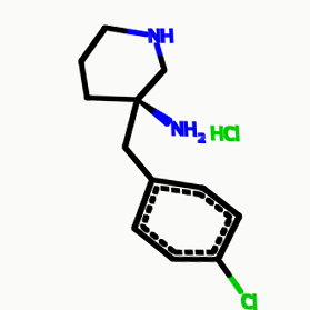 Cl.N[C@@]1(Cc2ccc(Cl)cc2)CCCNC1